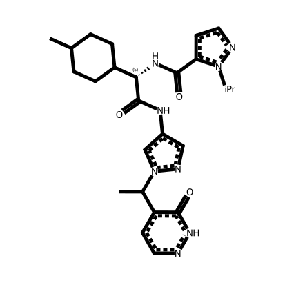 CC1CCC([C@H](NC(=O)c2ccnn2C(C)C)C(=O)Nc2cnn(C(C)c3ccn[nH]c3=O)c2)CC1